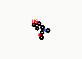 Oc1ccc(-c2ccc3c(c2)c2cc4oc5ccccc5c4cc2n3-c2ccccc2)cc1-c1ccccc1C1C=CC=C1